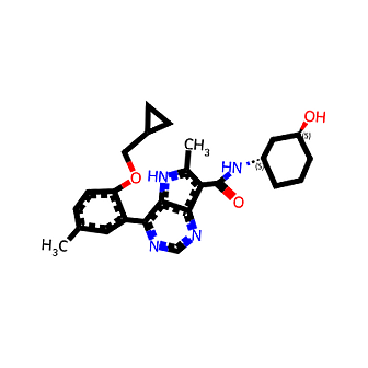 Cc1ccc(OCC2CC2)c(-c2ncnc3c(C(=O)N[C@H]4CCC[C@H](O)C4)c(C)[nH]c23)c1